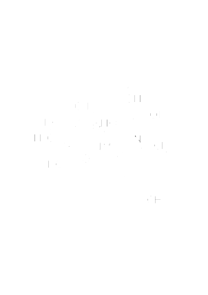 CC/C=C(/B1OC(C)(C)C(C)(C)O1)N(C)C(O)(O)O